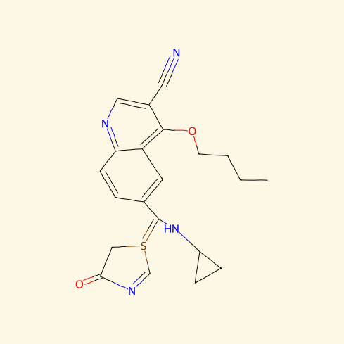 CCCCOc1c(C#N)cnc2ccc(/C(NC3CC3)=S3/C=NC(=O)C3)cc12